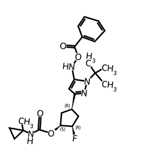 CC1(NC(=O)O[C@H]2C[C@@H](c3cc(NOC(=O)c4ccccc4)n(C(C)(C)C)n3)C[C@H]2F)CC1